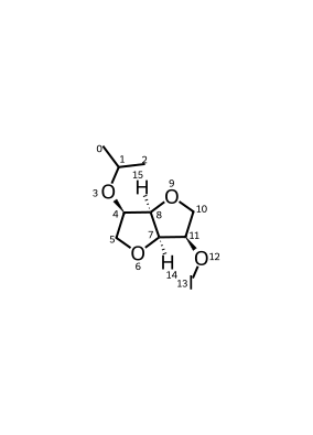 CC(C)O[C@@H]1CO[C@H]2[C@@H]1OC[C@H]2OI